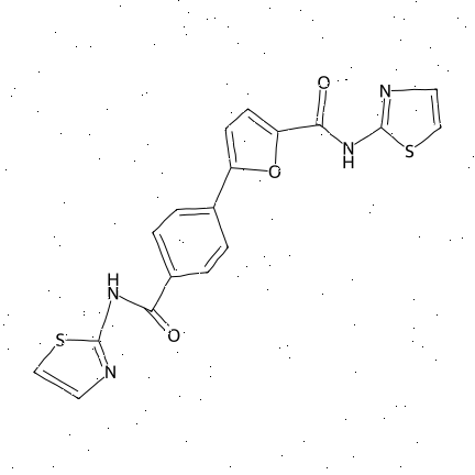 O=C(Nc1nccs1)c1ccc(-c2ccc(C(=O)Nc3nccs3)o2)cc1